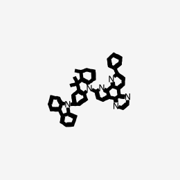 CC1CC=CC2=C1C(C)(C)c1cc(-n3c4ccccc4c4ccccc43)ccc1N2c1ccc2c3nccnc3c3ccc(-c4ccccc4)nc3c2n1